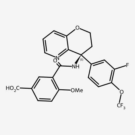 COc1ccc(C(=O)O)cc1C(=O)N[C@]1(c2ccc(OC(F)(F)F)c(F)c2)CCOc2cccnc21